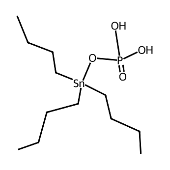 CCC[CH2][Sn]([CH2]CCC)([CH2]CCC)[O]P(=O)(O)O